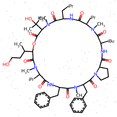 CCC(C)C1NC(=O)C2CCCN2C(=O)C(Cc2ccccc2)N(C)C(=O)C(Cc2ccccc2)NC(=O)C(C(C)C)N(C)C(=O)C(C(C)CCO)OC(=O)C(C(C)(C)O)N(C)C(=O)C(CC(C)C)NC(=O)C(C(C)C)N(C)C1=O